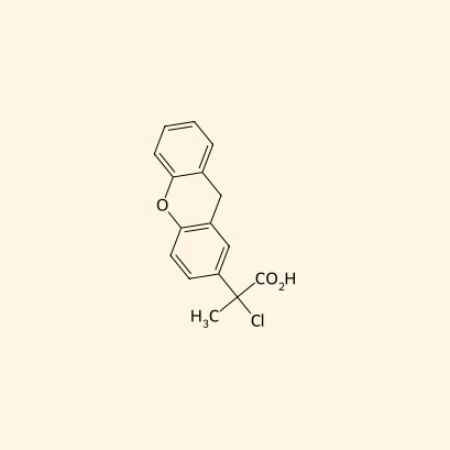 CC(Cl)(C(=O)O)c1ccc2c(c1)Cc1ccccc1O2